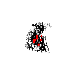 [2H]c1c([2H])c(F)c(F)c(C([2H])([2H])Sc2c([2H])c(=O)c3c([2H])c(C)c([2H])c([2H])c3n2CC(=O)N(Cc2c([2H])c([2H])c(-c3c([2H])c([2H])c(C(F)(F)F)c([2H])c3[2H])c([2H])c2[2H])C2([2H])C([2H])([2H])C([2H])([2H])N(CCOC([2H])([2H])[2H])C([2H])([2H])C2([2H])[2H])c1[2H]